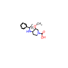 COC1CN(C(=O)O)CCC1NC(C)c1ccccc1